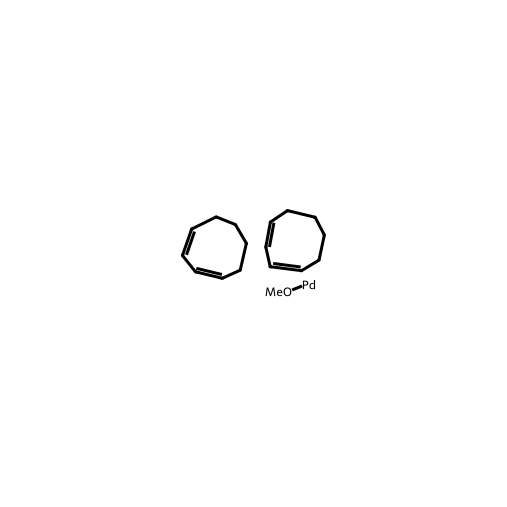 C1=C\CCCC\C=C/1.C1=C\CCCC\C=C/1.C[O][Pd]